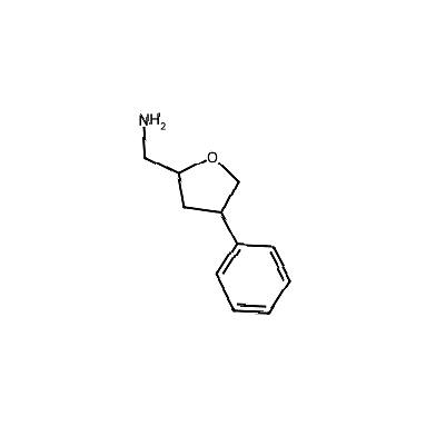 NCC1CC(c2ccccc2)CO1